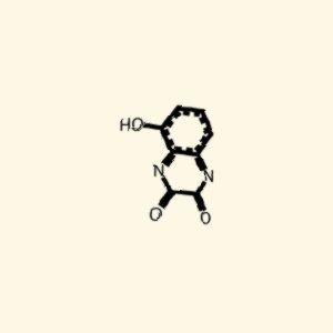 O=C1N=c2cccc(O)c2=NC1=O